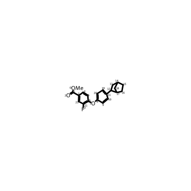 COC(=O)c1ccc(Oc2ccc(C3CC4CCC3C4)cc2)c(F)c1